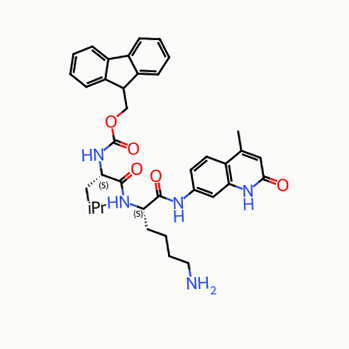 Cc1cc(=O)[nH]c2cc(NC(=O)[C@H](CCCCN)NC(=O)[C@H](CC(C)C)NC(=O)OCC3c4ccccc4-c4ccccc43)ccc12